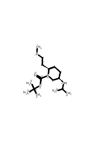 COCC[C@H]1CC[C@@H](NC(C)C)CN1C(=O)OC(C)(C)C